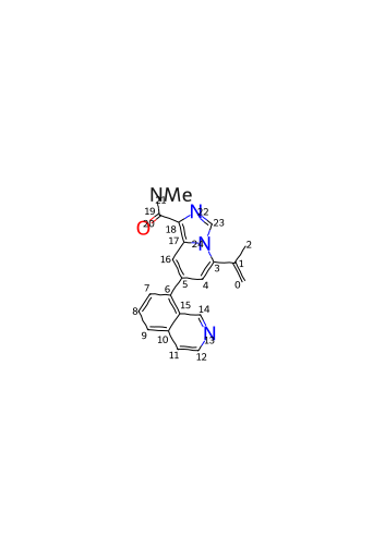 C=C(C)c1cc(-c2cccc3ccncc23)cc2c(C(=O)NC)ncn12